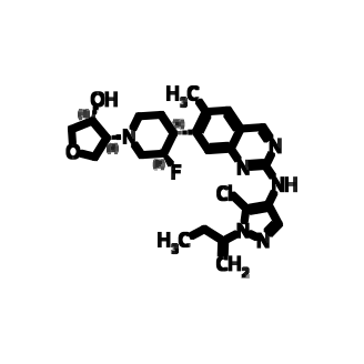 C=C(CC)n1ncc(Nc2ncc3cc(C)c([C@H]4CCN([C@@H]5COC[C@@H]5O)C[C@@H]4F)cc3n2)c1Cl